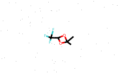 CC1(C)OC(C(F)(F)F)O1